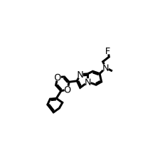 CN(CCF)c1ccn2cc(C3=COC=C(C4=CC=CCC4)O3)nc2c1